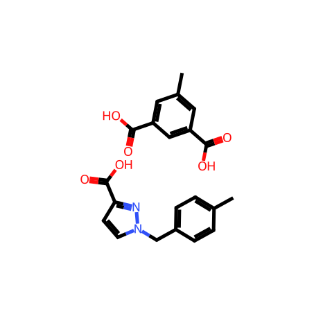 Cc1cc(C(=O)O)cc(C(=O)O)c1.Cc1ccc(Cn2ccc(C(=O)O)n2)cc1